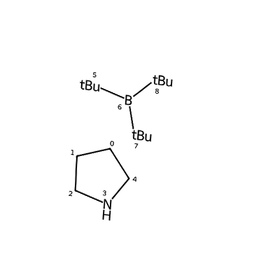 C1CCNC1.CC(C)(C)B(C(C)(C)C)C(C)(C)C